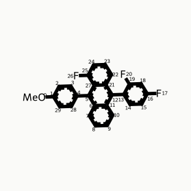 COc1ccc(-c2c3ccccc3c(-c3ccc(F)cc3F)c3cccc(F)c23)cc1